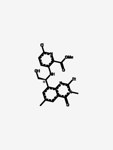 CCc1nc2c([C@@H](CO)Nc3ccc(Cl)nc3C(=O)OC)cc(C)cc2c(=O)n1C